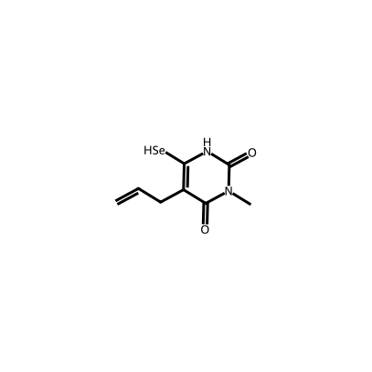 C=CCc1c([SeH])[nH]c(=O)n(C)c1=O